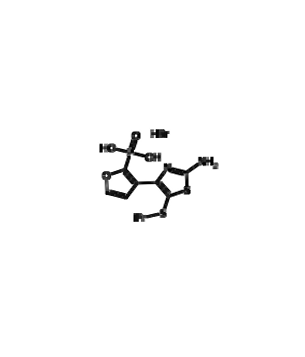 Br.CC(C)Sc1sc(N)nc1-c1ccoc1P(=O)(O)O